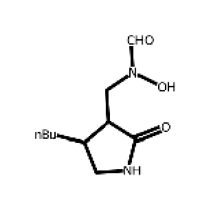 CCCCC1CNC(=O)C1CN(O)C=O